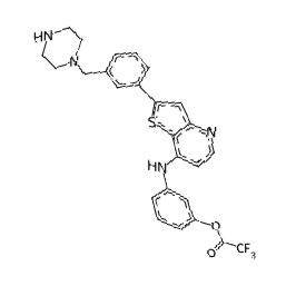 O=C(Oc1cccc(Nc2ccnc3cc(-c4cccc(CN5CCNCC5)c4)sc23)c1)C(F)(F)F